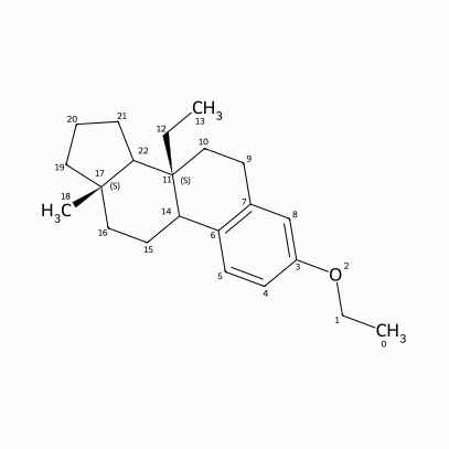 CCOc1ccc2c(c1)CC[C@]1(CC)C2CC[C@]2(C)CCCC21